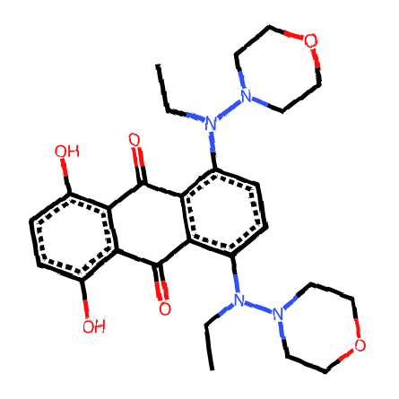 CCN(c1ccc(N(CC)N2CCOCC2)c2c1C(=O)c1c(O)ccc(O)c1C2=O)N1CCOCC1